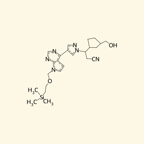 C[Si](C)(C)CCOCn1ccc2c(-c3cnn(C(CC#N)C4CCC(CO)C4)c3)ncnc21